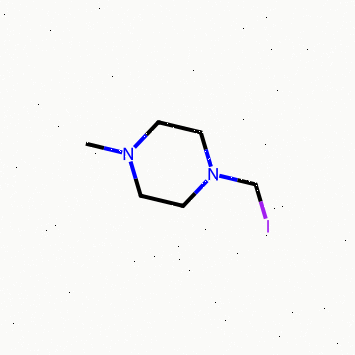 CN1CCN(CI)CC1